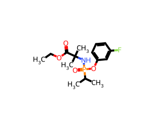 CCOC(=O)C(C)(C)NP(=O)(Oc1cccc(F)c1)C(C)C